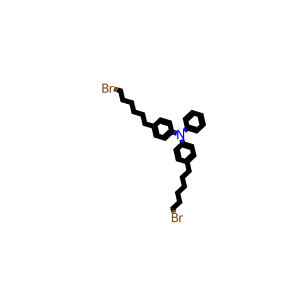 BrCCCCCCc1ccc(N(c2ccccc2)c2ccc(CCCCCCBr)cc2)cc1